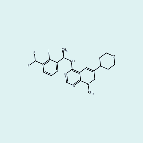 C[C@@H](Nc1ncnc2c1C=C(C1CCOCC1)CN2C)c1cccc(C(F)F)c1F